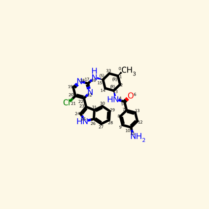 C[C@H]1C[C@@H](NC(=O)c2ccc(N)cc2)C[C@@H](Nc2ncc(Cl)c(-c3c[nH]c4ccccc34)n2)C1